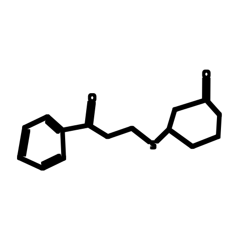 O=C1CCCC(SCCC(=O)c2ccccc2)C1